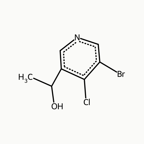 CC(O)c1cncc(Br)c1Cl